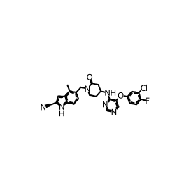 Cc1c(CN2CCC(Nc3ncncc3Oc3ccc(F)c(Cl)c3)CC2=O)ccc2[nH]c(C#N)cc12